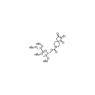 CCCCOC[C@H](OCCCC)[C@H](OCCCC)OC(COC(=O)N1CCC2(CC1)CC(=O)N(CC)C2=O)[C@H](C)OCCCC